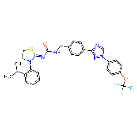 CC(C)c1ccccc1N1CCS/C1=N\C(=O)NCc1ccc(-c2ncn(-c3ccc(OC(F)(F)F)cc3)n2)cc1